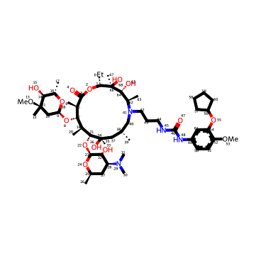 CC[C@H]1OC(=O)[C@H](C)[C@@H](O[C@H]2C[C@@](C)(OC)[C@@H](O)[C@H](C)O2)[C@H](C)[C@@H](O[C@@H]2O[C@H](C)C[C@H](N(C)C)[C@H]2O)[C@](C)(O)C[C@@H](C)CN(CCCNC(=O)Nc2ccc(OC)c(OC3CCCC3)c2)[C@H](C)[C@@H](O)[C@]1(C)O